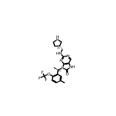 Cc1ccc(OC(F)(F)F)c([C@@H](C)n2c(=O)[nH]c3cnc(NC[C@@H]4CCNC4)nc32)c1